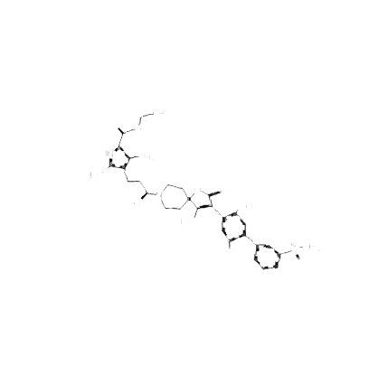 CCOC(=O)c1[nH]c(C)c(CCC(=O)N2CCC3(CC2)OC(=O)C(c2cc(Cl)c(-c4cccc(S(C)(=O)=O)c4)cc2C)=C3O)c1C